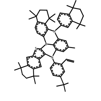 C=Cc1cc(C(C)(C)C)ccc1N1c2cc(C)cc3c2B(c2ccc4c(c2N3c2ccc3c(c2)C(C)(C)CCC3(C)C)C(C)(C)CCC4(C)C)c2sc3cc4c(cc3c21)C(C)(C)CCC4(C)C